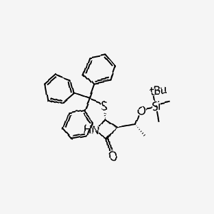 C[C@@H](O[Si](C)(C)C(C)(C)C)[C@H]1C(=O)N[C@@H]1SC(c1ccccc1)(c1ccccc1)c1ccccc1